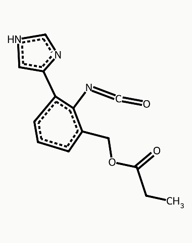 CCC(=O)OCc1cccc(-c2c[nH]cn2)c1N=C=O